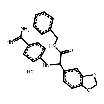 Cl.N=C(N)c1ccc(NC(C(=O)NCc2ccccc2)c2ccc3c(c2)OCO3)cc1